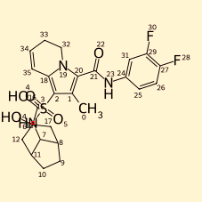 Cc1c(S(=O)(=O)NC2C3CCC2CC(O)(CO)C3)c2n(c1C(=O)Nc1ccc(F)c(F)c1)CCC=C2